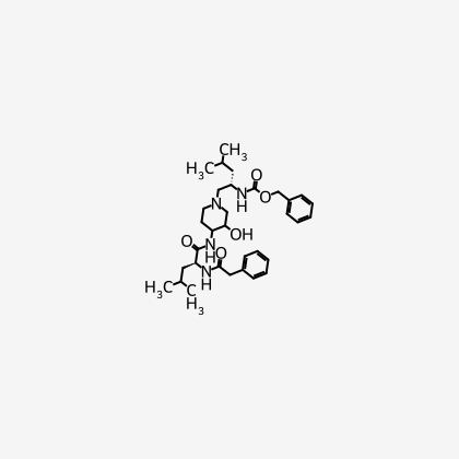 CC(C)C[C@@H](CN1CCC(NC(=O)[C@H](CC(C)C)NC(=O)Cc2ccccc2)C(O)C1)NC(=O)OCc1ccccc1